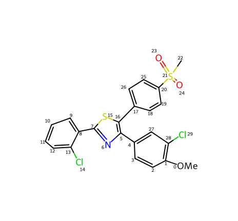 COc1ccc(-c2nc(-c3ccccc3Cl)sc2-c2ccc(S(C)(=O)=O)cc2)cc1Cl